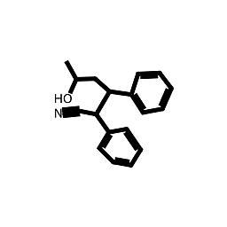 CC(O)CC(c1ccccc1)C(C#N)c1ccccc1